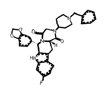 O=C1[C@@H]2Cc3c([nH]c4cc(F)ccc34)[C@H](c3ccc4c(c3)OCO4)N2C(=O)CN1C1CCN(Cc2ccccc2)CC1